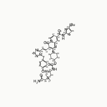 COc1ccc(Cn2nnnc2C=Cc2c(N3CCC(OC(=O)NCC[N+](C)(C)CC(N)=O)CC3)nc3cc(C(=O)Nc4nc(C(C)(C)C)cs4)ccn3c2=O)cc1